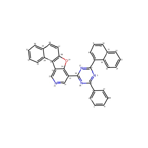 c1ccc(-c2nc(-c3cccc4ccccc34)nc(-c3cncc4c3oc3ccc5ccccc5c34)n2)cc1